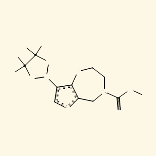 CC(C)(C)OC(=O)N1CCOc2c(B3OC(C)(C)C(C)(C)O3)csc2C1